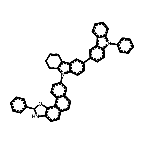 C1=Cc2c(n(-c3ccc4c(ccc5ccc6c(c54)OC(c4ccccc4)N6)c3)c3ccc(-c4ccc5c(c4)c4ccccc4n5-c4ccccc4)cc23)CC1